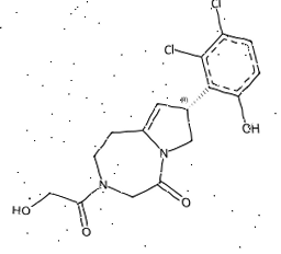 O=C(CO)N1CCC2=C[C@H](c3c(O)ccc(Cl)c3Cl)CN2C(=O)C1